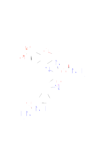 CC(C)S(=O)(=O)c1ccc(-c2nc(-c3onc(-c4ccc(NC(N)=O)cc4)c3C(C)(C)C)c(OC(N)=O)nc2C(=O)OC(C)(C)C)cc1